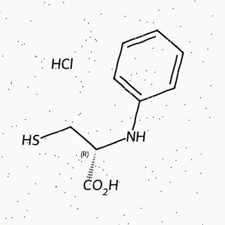 Cl.O=C(O)[C@H](CS)Nc1ccccc1